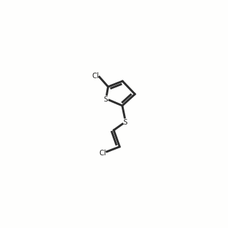 ClC=CSc1ccc(Cl)s1